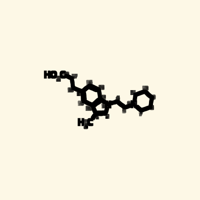 Cc1cn(CCN2CCCCC2)c2ccc(CCC(=O)O)cc12